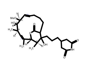 CO[C@H]1/C=C/CCCC2C(=O)O[C@@H](/C(C)=C\[C@@H](C)[C@@H]1O)[C@H](C)C2(O)CCCC1CC(=O)NC(=O)C1